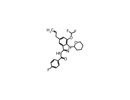 C=CCc1cc(OC(F)F)c2c(c1)c(NC(=O)c1ccc(F)cc1)nn2C1CCCCO1